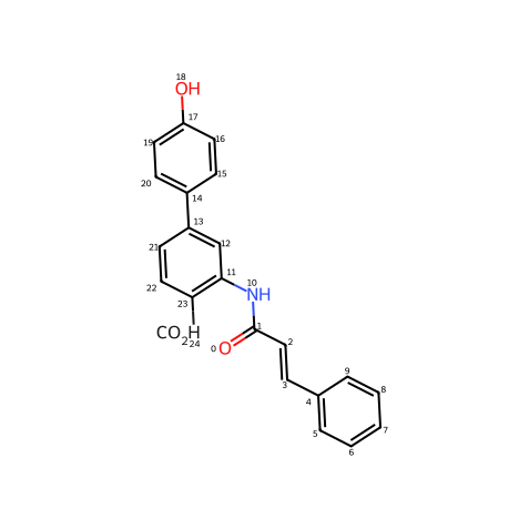 O=C(/C=C/c1ccccc1)Nc1cc(-c2ccc(O)cc2)ccc1C(=O)O